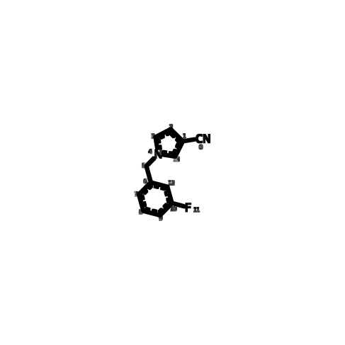 N#Cc1ccn(Cc2cccc(F)c2)c1